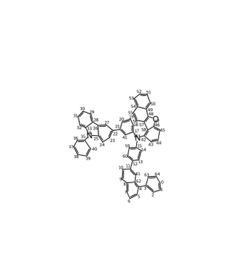 c1ccc(-c2cccc3ccc(-c4ccc(N(c5cccc(-c6ccc7c(c6)c6ccccc6n7-c6ccccc6)c5)c5cccc6oc7c8ccccc8ccc7c56)cc4)cc23)cc1